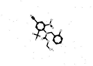 CCOC(=O)N(Cc1ccccc1Cl)c1c([N+](=O)[O-])cc(C#N)cc1C(F)(F)F